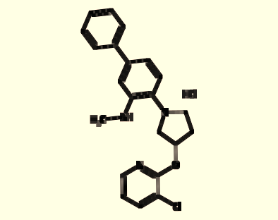 CNc1cc(-c2ccccc2)ccc1N1CCC(Oc2ncccc2Cl)C1.Cl